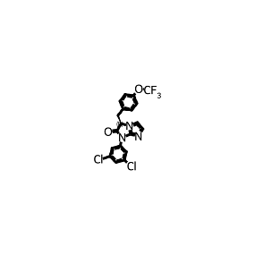 O=C1[C@@H](Cc2ccc(OC(F)(F)F)cc2)n2ccnc2N1c1cc(Cl)cc(Cl)c1